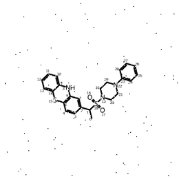 CC(c1ccc2c(c1)Nc1ccccc1S2)S(=O)(=O)N1CCN(c2ccccc2)CC1